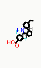 CCc1ccc2c(c1)[C@@H]1CCC[C@@H]1[C@H](c1c(F)cc(C(=O)O)cc1F)N2